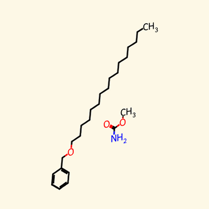 CCCCCCCCCCCCCCCCOCc1ccccc1.COC(N)=O